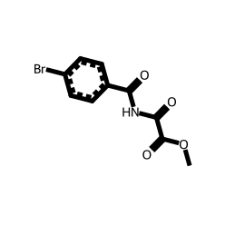 COC(=O)C(=O)NC(=O)c1ccc(Br)cc1